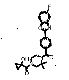 CC1(C)CN(C(=O)C2(O)CC2)CCN1C(=O)c1ccc(-c2nc3cc(F)ccc3o2)cc1